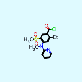 CCc1cc(N(C)c2ccccn2)c(S(C)(=O)=O)cc1C(=O)Cl